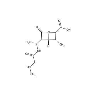 CNCC(=O)N[C@H](C)[C@H]1C(=O)N2C(C(=O)O)[C@H](C)[C@H]12